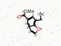 COC(=O)c1cc(CC(C)=O)c2occc2c1